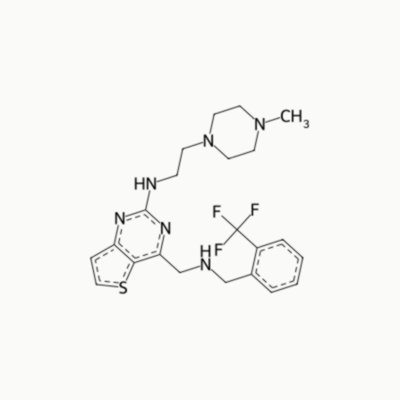 CN1CCN(CCNc2nc(CNCc3ccccc3C(F)(F)F)c3sccc3n2)CC1